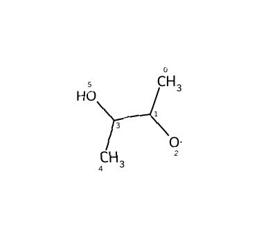 CC([O])C(C)O